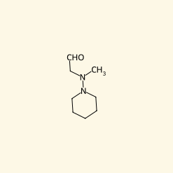 CN(CC=O)N1CCCCC1